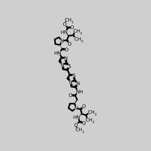 COC(=O)N[C@H](C(=O)N1CCC[C@H]1CC(=O)Nc1cn2cc(-c3cn4cc(NC(=O)[C@@H]5CCCN5C(=O)[C@@H](NC(=O)OC)C(C)C)nc4s3)sc2n1)C(C)C